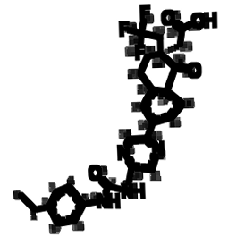 CCc1ccc(NC(=O)Nc2cnc(-c3ccc4c(c3)CC[C@@](CC(=O)O)(CC(F)(F)F)C4=O)cn2)cc1